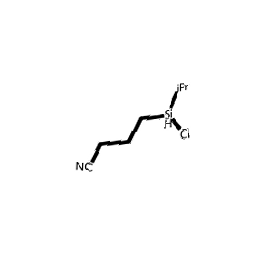 CC(C)[SiH](Cl)CCCC#N